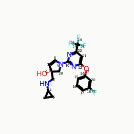 O[C@]1(CNC2CC2)C=CN(c2nc(Oc3cccc(F)c3)cc(C(F)(F)F)n2)C1